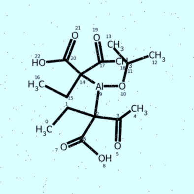 CC[C](C(C)=O)(C(=O)O)[Al]([O]C(C)C)[C](CC)(C(C)=O)C(=O)O